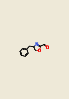 O=CC1=NC(Cc2ccccc2)CO1